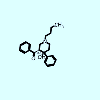 CCCCN1CC[C@](O)(c2ccccc2)[C@@H](C(=O)c2ccccc2)C1